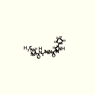 Cn1cnc(C(=O)NCCCNC(=O)c2cc(-c3ccccc3)[nH]n2)c1